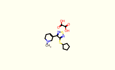 CN1CCC=C(c2nsnc2SC2CCCC2)C1.O=C(O)C(=O)O